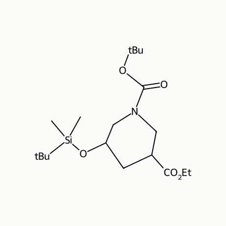 CCOC(=O)C1CC(O[Si](C)(C)C(C)(C)C)CN(C(=O)OC(C)(C)C)C1